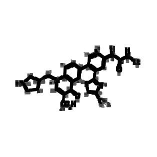 CCNC(=O)Nc1cc(-c2nc(C(F)(F)F)cs2)c(-c2ccc3c(c2)c(=O)c(C(=O)O)cn3C[C@H]2CCNC2)cn1